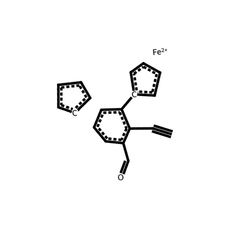 C#Cc1c(C=O)cccc1-[c-]1cccc1.[Fe+2].c1cc[cH-]c1